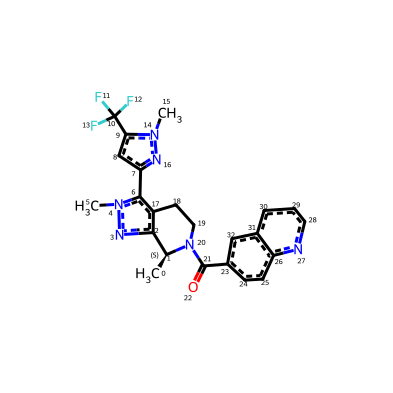 C[C@H]1c2nn(C)c(-c3cc(C(F)(F)F)n(C)n3)c2CCN1C(=O)c1ccc2ncccc2c1